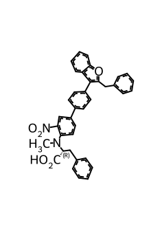 CN(c1ccc(-c2ccc(-c3c(Cc4ccccc4)oc4ccccc34)cc2)cc1[N+](=O)[O-])[C@H](Cc1ccccc1)C(=O)O